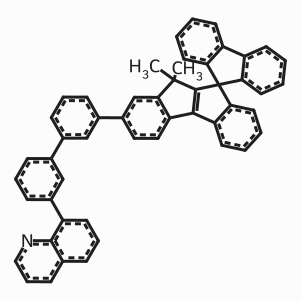 CC1(C)C2=C(c3ccc(-c4cccc(-c5cccc(-c6cccc7cccnc67)c5)c4)cc31)c1ccccc1C21c2ccccc2-c2ccccc21